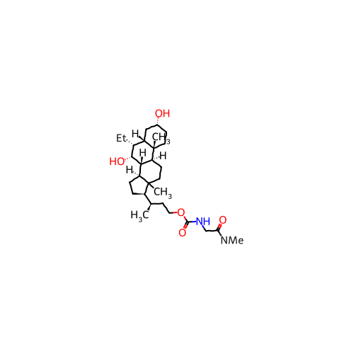 CC[C@H]1[C@@H](O)[C@H]2[C@@H]3CC[C@H]([C@H](C)CCOC(=O)NCC(=O)NC)C3(C)CC[C@@H]2[C@@]2(C)CC[C@@H](O)C[C@@H]12